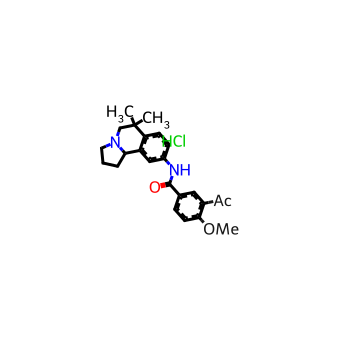 COc1ccc(C(=O)Nc2ccc3c(c2)C2CCCN2CC3(C)C)cc1C(C)=O.Cl